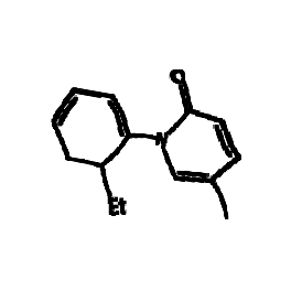 CCC1CC=CC=C1n1cc(C)ccc1=O